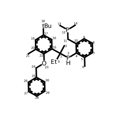 CCC(C)(Pc1c(C)cccc1CP(C)C)c1cc(C(C)(C)C)cc(C)c1OCc1ccccc1